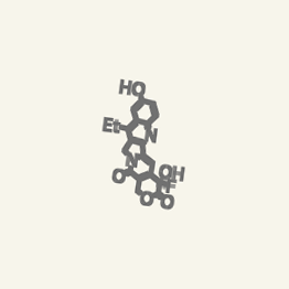 CCc1c2c(nc3ccc(O)cc13)-c1cc3c(c(=O)n1C2)COC(=O)[C@]3(O)F